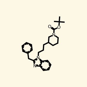 CC(C)(C)OC(=O)N1CCCC(CCCn2c(Cc3ccccc3)nc3ccccc32)C1